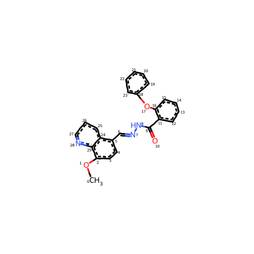 COc1ccc(/C=N/NC(=O)c2ccccc2Oc2ccccc2)c2cccnc12